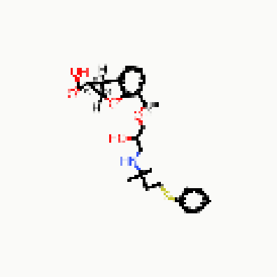 C[C@@H](OCC(O)CNC(C)(C)CCSc1ccccc1)c1cccc2c1O[C@@H]1[C@@H](C(=O)O)[C@H]21